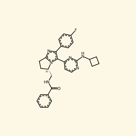 O=C(NC[C@@H]1CCc2nc(-c3ccc(F)cc3)c(-c3ccnc(NC4CCC4)n3)n21)c1ccccc1